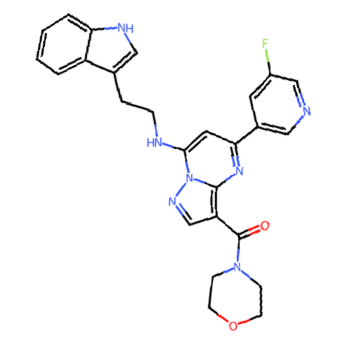 O=C(c1cnn2c(NCCc3c[nH]c4ccccc34)cc(-c3cncc(F)c3)nc12)N1CCOCC1